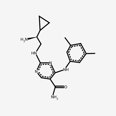 Cc1cc(C)cc(Nc2nc(NC[C@@H](N)C3CC3)ncc2C(N)=O)c1